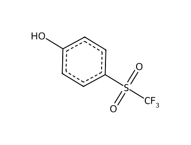 O=S(=O)(c1ccc(O)cc1)C(F)(F)F